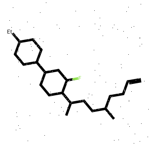 C=CCCC(C)CCC(C)C1CCC(C2CCC(CC)CC2)CC1F